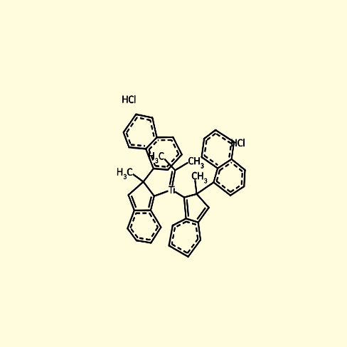 C[C](C)=[Ti]([C]1=c2ccccc2=CC1(C)c1cccc2ccccc12)[C]1=c2ccccc2=CC1(C)c1cccc2ccccc12.Cl.Cl